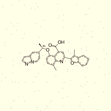 Cc1c(-c2cc(C(=O)O)c3c(O[C@H](C)c4ccn5nccc5c4)ccc(C)c3n2)oc2ccccc12